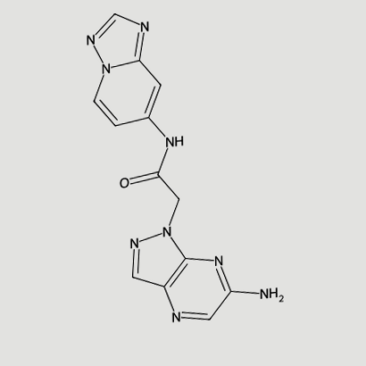 Nc1cnc2cnn(CC(=O)Nc3ccn4ncnc4c3)c2n1